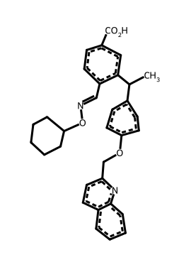 CC(c1ccc(OCc2ccc3ccccc3n2)cc1)c1cc(C(=O)O)ccc1C=NOC1CCCCC1